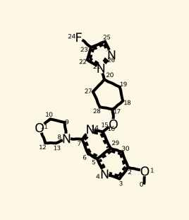 COc1cnc2cc(N3CCOCC3)nc(OC3CCC(n4cc(F)cn4)CC3)c2c1